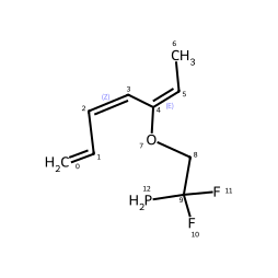 C=C/C=C\C(=C/C)OCC(F)(F)P